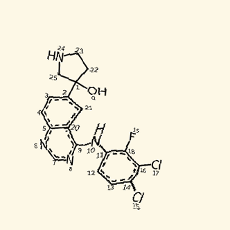 OC1(c2ccc3ncnc(Nc4ccc(Cl)c(Cl)c4F)c3c2)CCNC1